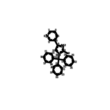 Cc1nc(-c2cccnc2)cn1C(c1ccccc1)(c1ccccc1)c1ccccc1